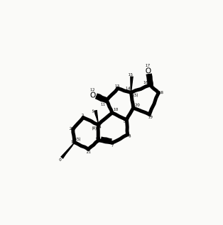 C[C@H]1CC[C@@]2(C)C(=CCC3C2C(=O)C[C@]2(C)C(=O)CCC32)C1